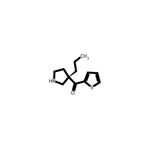 CCC[C@]1(C(=O)c2cccs2)CCNC1